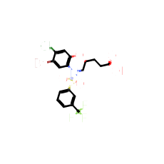 O=C(O)CCC1CN(S(=O)(=O)c2cccc(C(F)(F)F)c2)c2cc(Br)c(Cl)cc2O1